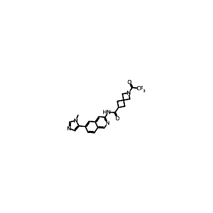 Cn1cncc1-c1ccc2cnc(NC(=O)C3CC4(C3)CN(C(=O)C(F)(F)F)C4)cc2c1